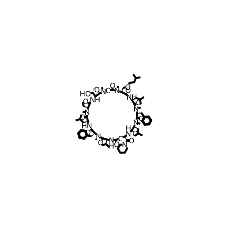 CC[C@H]1C(=O)N[C@@H]([C@@H](C)O)C(=O)N(C)CC(=O)N(C)[C@@H](COCCC(C)C)C(=O)N[C@@H](CC(C)C)C(=O)N(C)[C@@H](Cc2ccccc2)C(=O)N(C)[C@@H](CC(C)C)C(=O)N[C@@H](C(=O)N2CCCCC2)CC(=O)N[C@@H](C(C)C)C(=O)N(C)[C@H](Cc2ccccc2)C(=O)N[C@@H](CC(C)C)C(=O)N1C